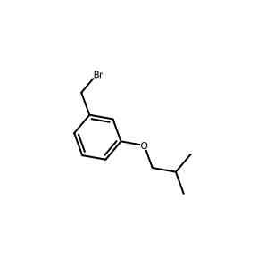 CC(C)COc1cccc(CBr)c1